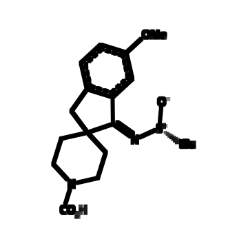 COc1ccc2c(c1)/C(=N\[S@+]([O-])C(C)(C)C)C1(CCN(C(=O)O)CC1)C2